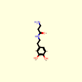 NCCC(=O)NCCc1ccc(O)c(O)c1